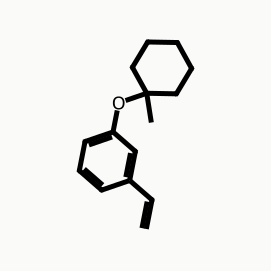 C=Cc1cccc(OC2(C)CCCCC2)c1